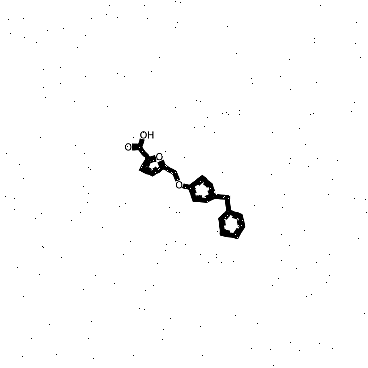 O=C(O)c1ccc(COc2ccc(Cc3ccccc3)cc2)o1